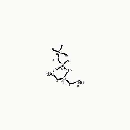 CC(C)(C)C[SiH](CC(C)(C)C)O[Si](C)(C)O[Si](C)(C)C